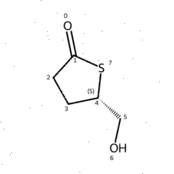 O=C1CC[C@@H](CO)S1